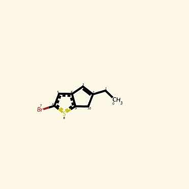 CCC1=Cc2cc(Br)sc2C1